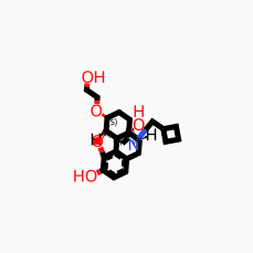 OCCO[C@H]1CC[C@@]2(O)[C@H]3Cc4ccc(O)c5c4[C@@]2(CCN3CC2CCC2)[C@H]1O5